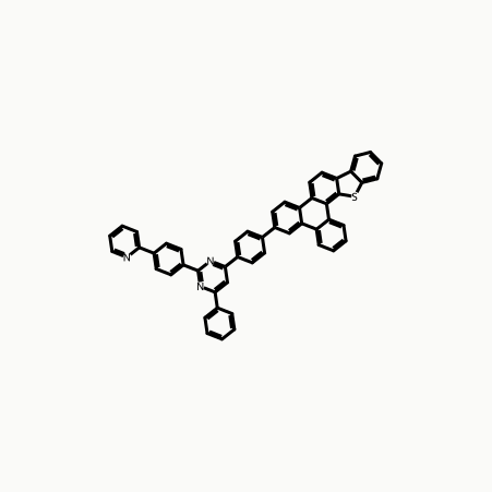 c1ccc(-c2cc(-c3ccc(-c4ccc5c(c4)c4ccccc4c4c5ccc5c6ccccc6sc54)cc3)nc(-c3ccc(-c4ccccn4)cc3)n2)cc1